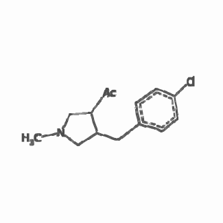 CC(=O)C1CN(C)CC1Cc1ccc(Cl)cc1